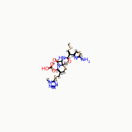 CSC=C(C(=O)NC1C(=O)N2C(OC(=O)O)=C(CSc3nnnn3C)CS[C@@H]12)c1csc(N)n1